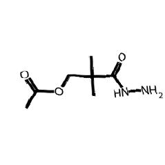 CC(=O)OCC(C)(C)C(=O)NN